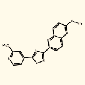 COc1cc(-c2nc(-c3ccc4cc(OC(C)C)ccc4n3)no2)ccn1